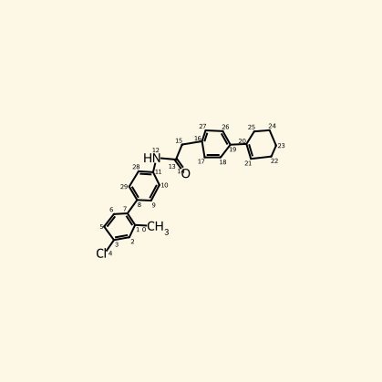 Cc1cc(Cl)ccc1-c1ccc(NC(=O)Cc2ccc(C3=CCCCC3)cc2)cc1